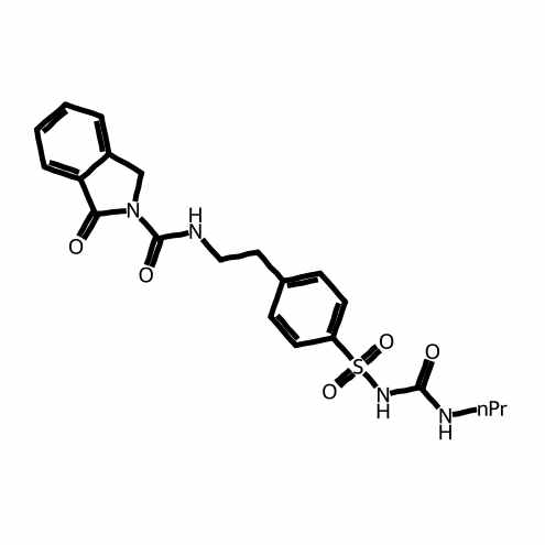 CCCNC(=O)NS(=O)(=O)c1ccc(CCNC(=O)N2Cc3ccccc3C2=O)cc1